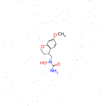 COc1ccc2c(c1)OCCC2CN(O)C(N)=O